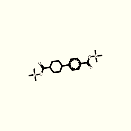 C[Si](C)(C)OC(=O)c1ccc(C2CCC(C(=O)O[Si](C)(C)C)CC2)cc1